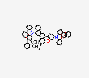 CC1(C)c2ccccc2-c2ccc(N(c3ccccc3-c3ccccc3)c3cc4c5cccc6c5c(cc4c4ccccc34)-c3ccc(N(c4ccccc4-c4ccccc4)c4cccc5c4oc4ccccc45)cc3O6)cc21